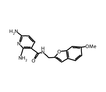 COc1ccc2cc(CNC(=O)c3ccc(N)nc3N)oc2c1